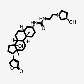 C[C@]12CC[C@H](NC(=O)NCCN3CC[C@@H](O)C3)C[C@H]1CC[C@@H]1[C@@H]2CC[C@]2(C)[C@@H](C3=CC(=O)OC3)CC[C@]12O